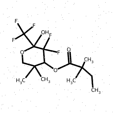 CCC(C)(C)C(=O)OC1C(C)(C)COC(O)(C(F)(F)F)C1(F)F